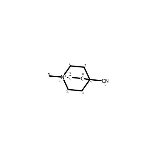 C[N+]12CCC(C#N)(CC1)CC2